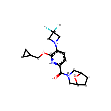 O=C(c1ccc(N2CC(F)(F)C2)c(OCC2CC2)n1)N1CC2CCC(C1)O2